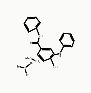 BrB(Br)Br.CSC.O=C(Nc1ccccc1)c1ccc(O)c(Nc2ccccc2)c1